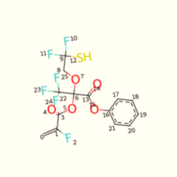 C=C(F)C(=O)OC(OCC(F)(F)S)(C(=O)Oc1ccccc1)C(F)(F)F